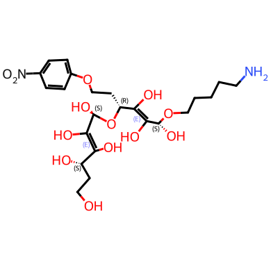 NCCCCCO[C@H](O)/C(O)=C(\O)[C@@H](CCOc1ccc([N+](=O)[O-])cc1)O[C@H](O)/C(O)=C(\O)[C@@H](O)CCO